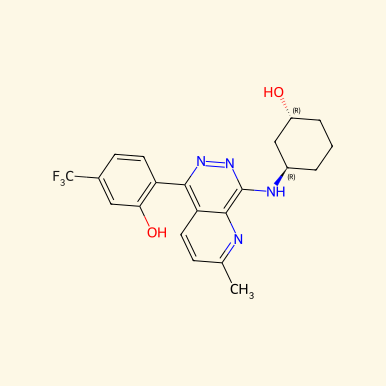 Cc1ccc2c(-c3ccc(C(F)(F)F)cc3O)nnc(N[C@@H]3CCC[C@@H](O)C3)c2n1